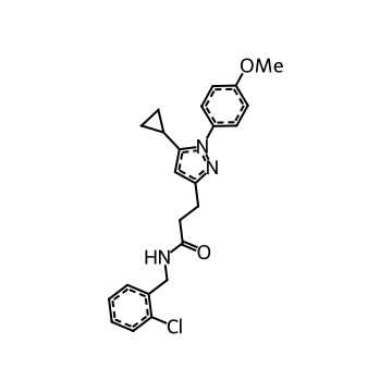 COc1ccc(-n2nc(CCC(=O)NCc3ccccc3Cl)cc2C2CC2)cc1